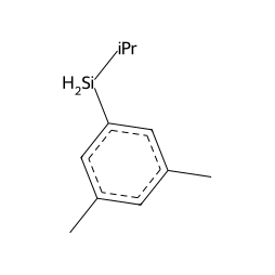 Cc1cc(C)cc([SiH2]C(C)C)c1